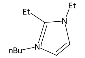 CCCC[n+]1ccn(CC)c1CC